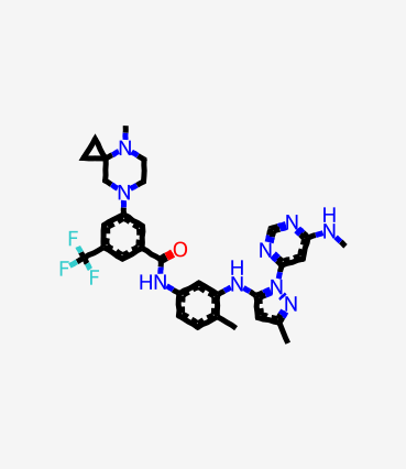 CNc1cc(-n2nc(C)cc2Nc2cc(NC(=O)c3cc(N4CCN(C)C5(CC5)C4)cc(C(F)(F)F)c3)ccc2C)ncn1